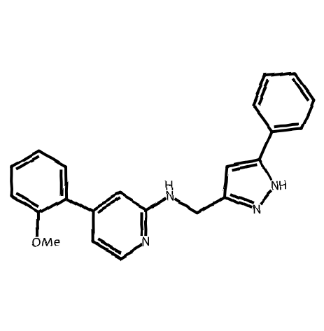 COc1ccccc1-c1ccnc(NCc2cc(-c3ccccc3)[nH]n2)c1